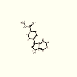 CC(C)(C)OC(=O)N1CC=C(c2c[nH]c3cncnc23)CC1